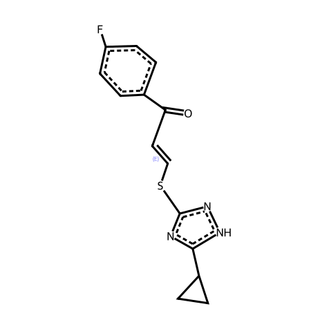 O=C(/C=C/Sc1n[nH]c(C2CC2)n1)c1ccc(F)cc1